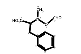 CN(OC=O)C(Cc1ccccc1)C(=O)O